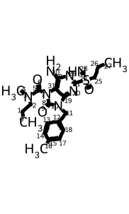 CCCN(C)C(=O)n1c(=O)n(Cc2ccc(C)cc2)c2nc(S(=N)(=O)CCC)nc(N)c21